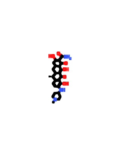 C[C@H]1c2ccc(NC3CCN(C)CC3)c(O)c2C(=O)C2=C(O)C3C(=O)C(C(N)=O)=C(O)CC3CC21